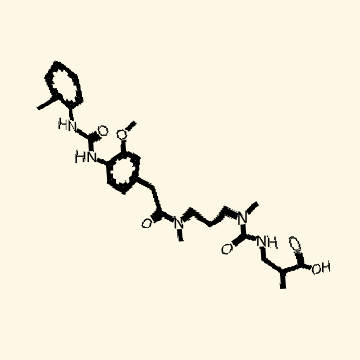 COc1cc(CC(=O)N(C)CCCN(C)C(=O)NCC(C)C(=O)O)ccc1NC(=O)Nc1ccccc1C